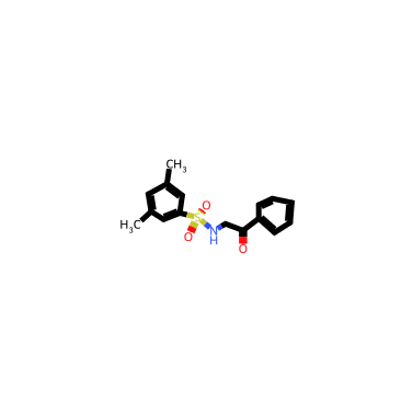 Cc1cc(C)cc(S(=O)(=O)NCC(=O)c2ccccc2)c1